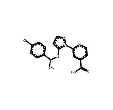 C[C@H](Oc1ccnn1-c1cc(C(=O)O)ccn1)c1ccc(Cl)cc1